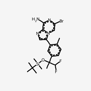 Cc1ccc(C(C)(O[Si](C)(C)C(C)(C)C)C(F)F)cc1-c1cnc2c(N)nc(Br)cn12